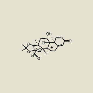 CC1(C)O[C@@H]2C[C@H]3[C@@H]4CCC5=CC(=O)C=C[C@]5(C)[C@@]4(Cl)[C@@H](O)C[C@]3(C)[C@]2(C(=O)C=O)O1